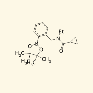 CCN(Cc1ccccc1B1OC(C)(C)C(C)(C)O1)C(=O)C1CC1